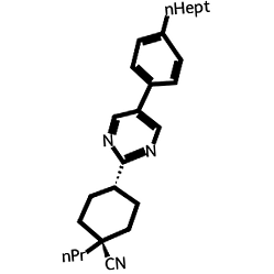 CCCCCCCc1ccc(-c2cnc([C@H]3CC[C@@](C#N)(CCC)CC3)nc2)cc1